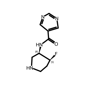 O=C(N[C@@H]1CNCC[C@@H]1F)c1cncnc1